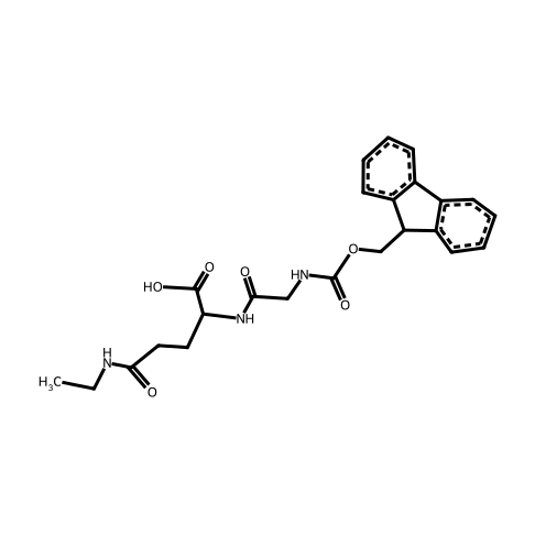 CCNC(=O)CCC(NC(=O)CNC(=O)OCC1c2ccccc2-c2ccccc21)C(=O)O